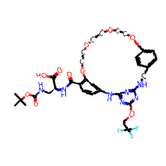 CC(C)(C)OC(=O)NC[C@H](NC(=O)c1ccc2cc1OCCOCCOCCOc1ccc(cc1)CNc1nc(nc(OCC(F)(F)F)n1)N2)C(=O)O